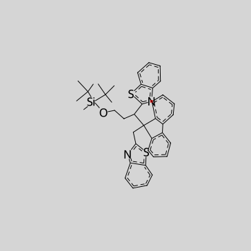 CC(C)(C)[Si](C)(OCCC(c1nc2ccccc2s1)C1(Cc2nc3ccccc3s2)c2ccccc2-c2ccccc21)C(C)(C)C